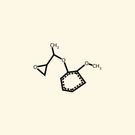 COc1ccccc1OC(C)C1CO1